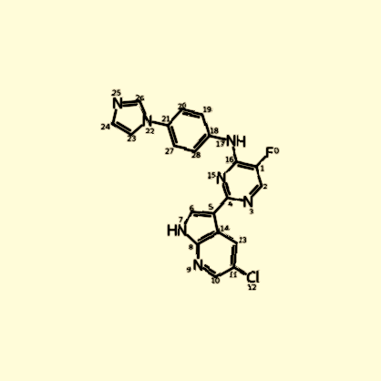 Fc1cnc(-c2c[nH]c3ncc(Cl)cc23)nc1Nc1ccc(-n2ccnc2)cc1